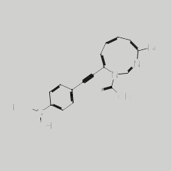 CC(=O)n1cnc(Br)ccccc1C#Cc1ccc(N(C)C)cc1